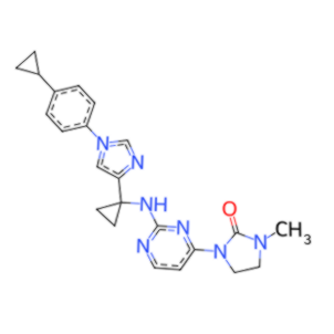 CN1CCN(c2ccnc(NC3(c4cn(-c5ccc(C6CC6)cc5)cn4)CC3)n2)C1=O